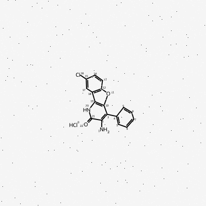 Cl.Nc1c(-c2ccccc2)c2oc3ccc(Cl)cc3c2[nH]c1=O